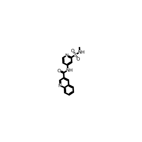 CNS(=O)(=O)c1cc(NC(=O)c2cnc3ccccc3c2)ccn1